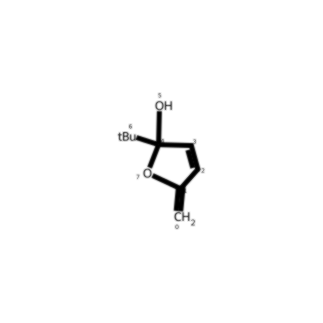 C=C1C=CC(O)(C(C)(C)C)O1